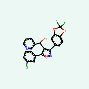 OC(c1cccnc1)c1c(-c2ccc3c(c2)OC(F)(F)O3)noc1-c1cccc(Cl)c1